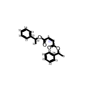 CC(OC(=O)/C=C\C(=O)OC(C)c1ccccc1)c1ccccc1